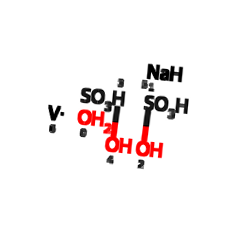 O.O=S(=O)(O)O.O=S(=O)(O)O.[NaH].[V]